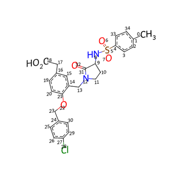 Cc1ccc(S(=O)(=O)NC2CCN(Cc3cc(CC(=O)O)ccc3OCc3ccc(Cl)cc3)C2=O)cc1